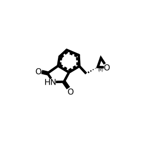 O=C1NC(=O)c2c(C[C@@H]3CO3)cccc21